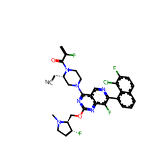 C=C(F)C(=O)N1CCN(c2nc(OC[C@H]3[C@H](F)CCN3C)nc3c(F)c(-c4cccc5ccc(F)c(Cl)c45)ncc23)C[C@@H]1CC#N